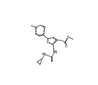 C=C(Nc1sc(-c2ccc(C)cc2)cc1C(=O)OC)NC1CC1